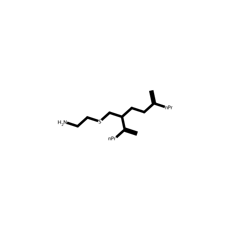 C=C(CCC)CCC(CSCCN)C(=C)CCC